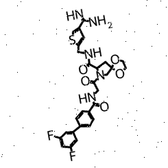 N=C(N)c1csc(CNC(=O)C2CC3(CN2C(=O)CNC(=O)c2ccc(-c4cc(F)cc(F)c4)cc2)OCCO3)c1